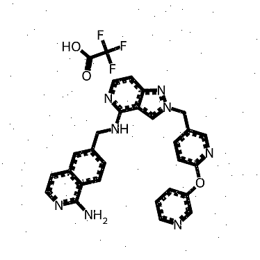 Nc1nccc2cc(CNc3nccc4nn(Cc5ccc(Oc6cccnc6)nc5)cc34)ccc12.O=C(O)C(F)(F)F